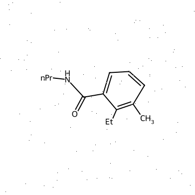 CCCNC(=O)c1cccc(C)c1CC